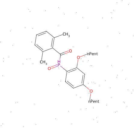 CCCCCOc1ccc([PH](=O)C(=O)c2c(C)cccc2C)c(OCCCCC)c1